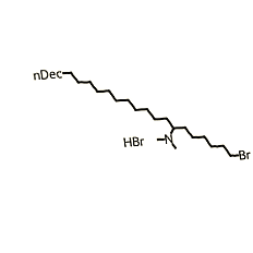 Br.CCCCCCCCCCCCCCCCCCCCCC(CCCCCCBr)N(C)C